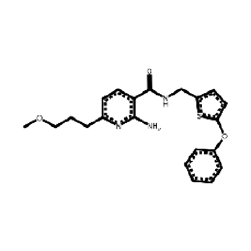 COCCCc1ccc(C(=O)NCc2ccc(Oc3ccccc3)s2)c(N)n1